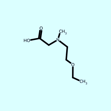 CCOCCN(C)CC(=O)O